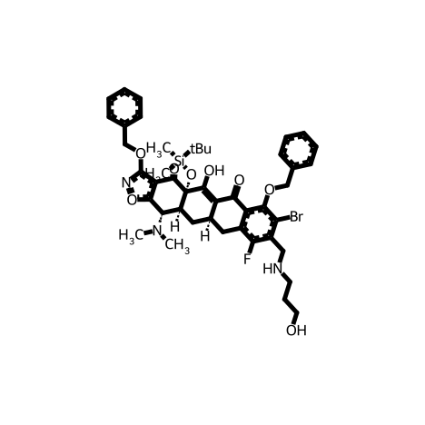 CN(C)[C@@H]1c2onc(OCc3ccccc3)c2C(=O)[C@@]2(O[Si](C)(C)C(C)(C)C)C(O)=C3C(=O)c4c(c(F)c(CNCCCO)c(Br)c4OCc4ccccc4)C[C@H]3C[C@@H]12